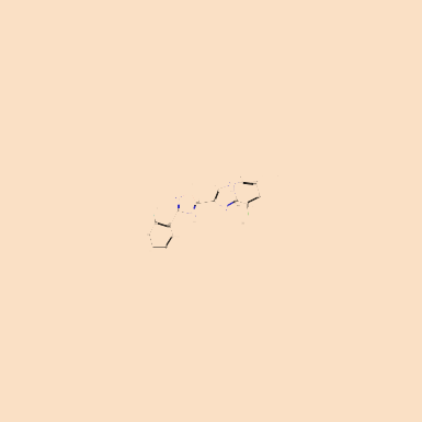 FC1=C(c2noc(-c3cn4cc(C(F)(F)F)cc(Cl)c4n3)n2)C=CCC1